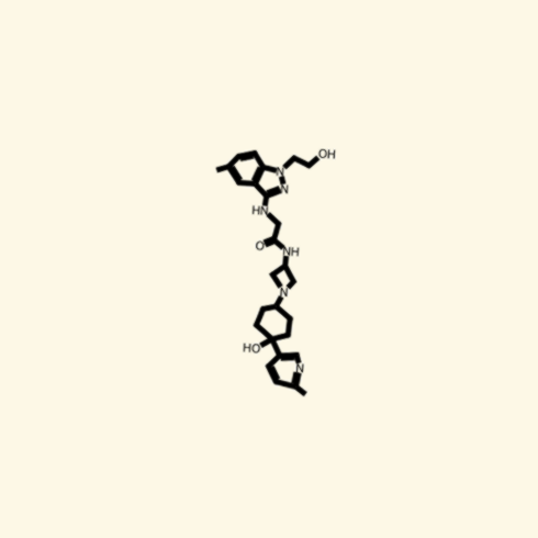 Cc1ccc2c(c1)c(NCC(=O)NC1CN(C3CCC(O)(c4ccc(C)nc4)CC3)C1)nn2CCO